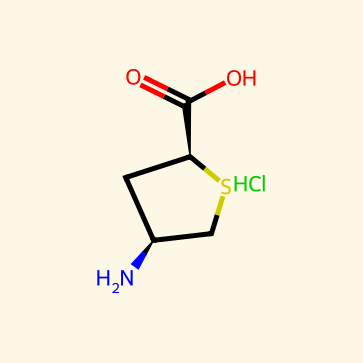 Cl.N[C@@H]1CS[C@H](C(=O)O)C1